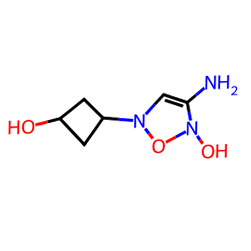 NC1=CN(C2CC(O)C2)ON1O